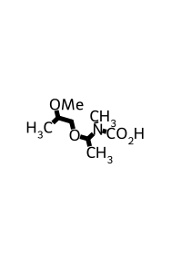 COC(C)COC(C)N(C)C(=O)O